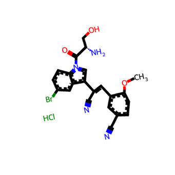 COc1ccc(C#N)cc1/C=C(\C#N)c1cn(C(=O)[C@@H](N)CO)c2ccc(Br)cc12.Cl